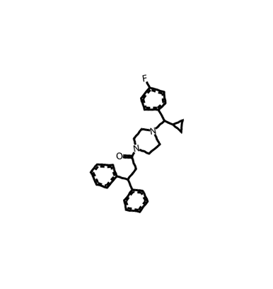 O=C(CC(c1ccccc1)c1ccccc1)N1CCN(C(c2ccc(F)cc2)C2CC2)CC1